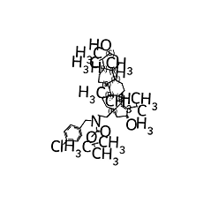 CC(C)C1=C2[C@H]3CC[C@@H]4[C@@]5(C)CC[C@H](O)C(C)(C)[C@@H]5CC[C@@]4(C)[C@]3(C)CC[C@@]2(CCN(Cc2ccc(Cl)cc2)C(=O)OC(C)(C)C)CC1=O